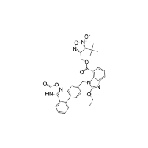 CCOc1nc2cccc(C(=O)OCc3no[n+]([O-])c3C(C)(C)C)c2n1Cc1ccc(-c2ccccc2-c2noc(=O)[nH]2)cc1